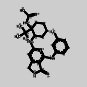 Cc1cccc(Nc2nc(NC3CCCCC3(NC(=O)O)C(C)(C)C)cc3c2C(=O)NC3)c1